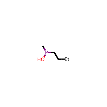 CCCCP(C)O